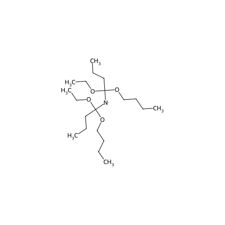 CCCCOC(CCC)([N]C(CCC)(OCC)OCCCC)OCC